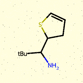 CC(C)(C)C(N)C1CC=CS1